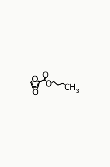 CCCCOC(=O)c1occ2c1O2